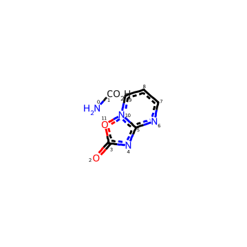 NC(=O)O.O=c1nc2ncccn2o1